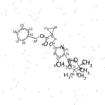 Cc1cc(OCC2(C(=O)OCc3ccccc3)CC2)ncc1B1OC(C)(C)C(C)(C)O1